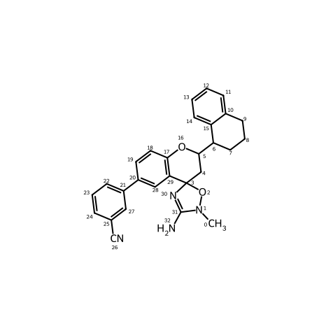 CN1OC2(CC(C3CCCc4ccccc43)Oc3ccc(-c4cccc(C#N)c4)cc32)N=C1N